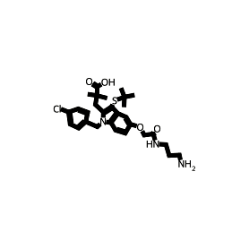 CC(C)(C)Sc1c(CC(C)(C)C(=O)O)n(Cc2ccc(Cl)cc2)c2ccc(OCC(=O)NCCCN)cc12